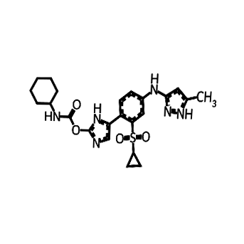 Cc1cc(Nc2ccc(-c3cnc(OC(=O)NC4CCCCC4)[nH]3)c(S(=O)(=O)C3CC3)c2)n[nH]1